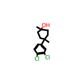 CC1(O)CCC(C)(c2ccc(Cl)c(Cl)c2)CC1